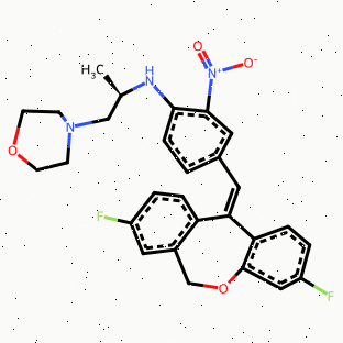 C[C@H](CN1CCOCC1)Nc1ccc(/C=C2\c3ccc(F)cc3COc3cc(F)ccc32)cc1[N+](=O)[O-]